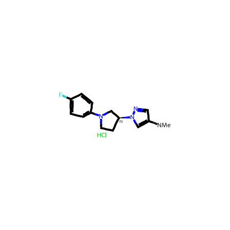 CNc1cnn([C@H]2CCN(c3ccc(F)cc3)C2)c1.Cl